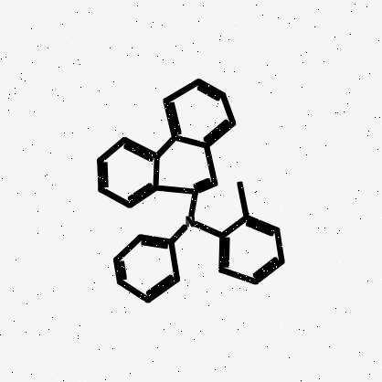 Cc1ccccc1N(c1ccccc1)c1cc2ccccc2c2ccccc12